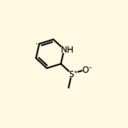 C[S+]([O-])C1C=C[C]=CN1